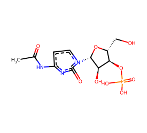 CC(=O)Nc1ccn([C@@H]2O[C@H](CO)[C@@H](OP(=O)(O)O)[C@H]2O)c(=O)n1